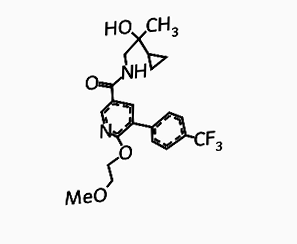 COCCOc1ncc(C(=O)NCC(C)(O)C2CC2)cc1-c1ccc(C(F)(F)F)cc1